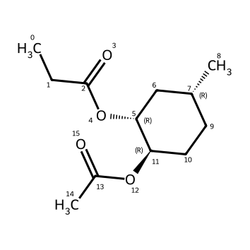 CCC(=O)O[C@@H]1C[C@H](C)CC[C@H]1OC(C)=O